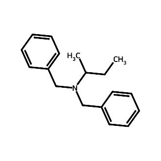 CCC(C)N(Cc1ccccc1)Cc1ccccc1